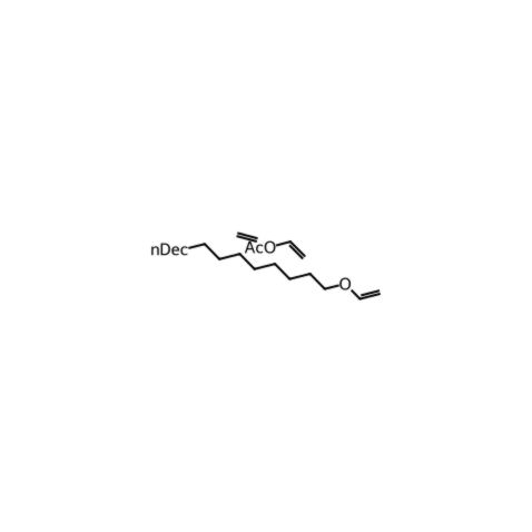 C=C.C=COC(C)=O.C=COCCCCCCCCCCCCCCCCCC